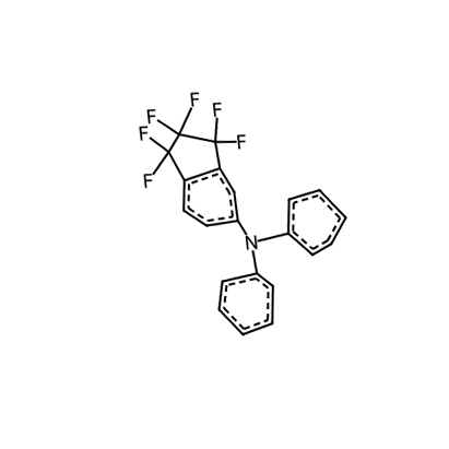 FC1(F)c2ccc(N(c3ccccc3)c3ccccc3)cc2C(F)(F)C1(F)F